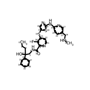 CCCC(O)(CNC(=O)c1nccc(Sc2cnc(Nc3ccc(CNC)cn3)s2)c1F)c1ccccc1